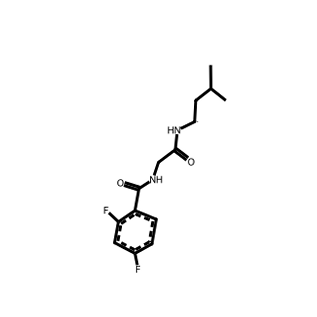 CC(C)C[CH]NC(=O)CNC(=O)c1ccc(F)cc1F